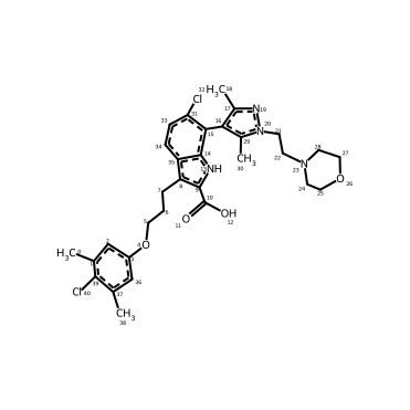 Cc1cc(OCCCc2c(C(=O)O)[nH]c3c(-c4c(C)nn(CCN5CCOCC5)c4C)c(Cl)ccc23)cc(C)c1Cl